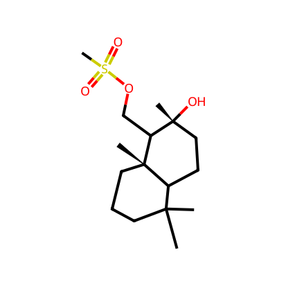 CC1(C)CCC[C@@]2(C)C1CC[C@@](C)(O)C2COS(C)(=O)=O